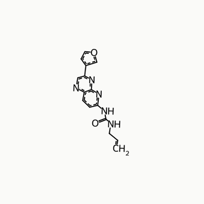 C=CCNC(=O)Nc1ccc2ncc(-c3ccoc3)nc2n1